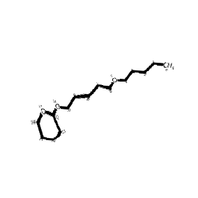 CCCCCOCCCCCOC1CCCCO1